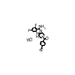 Cl.N#Cc1ccc(C(=O)N2CCC3(CC2)N=C(N)c2c(F)cc(F)cc2N3)cc1